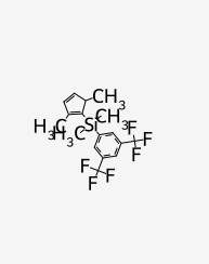 CC1=C([Si](C)(C)c2cc(C(F)(F)F)cc(C(F)(F)F)c2)C(C)C=C1